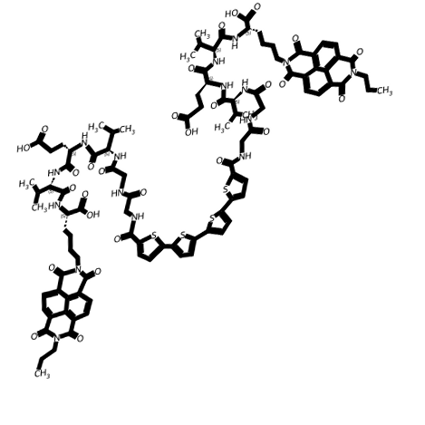 CCCN1C(=O)c2ccc3c4c(ccc(c24)C1=O)C(=O)N(CCCC[C@H](NC(=O)[C@@H](NC(=O)[C@H](CCC(=O)O)NC(=O)[C@@H](NC(=O)CNC(=O)CNC(=O)c1ccc(-c2ccc(-c4ccc(-c5ccc(C(=O)NCC(=O)NCC(=O)N[C@H](C(=O)N[C@@H](CCC(=O)O)C(=O)N[C@H](C(=O)N[C@@H](CCCCN6C(=O)c7ccc8c9c(ccc(c79)C6=O)C(=O)N(CCC)C8=O)C(=O)O)C(C)C)C(C)C)s5)s4)s2)s1)C(C)C)C(C)C)C(=O)O)C3=O